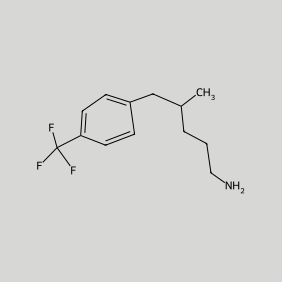 CC(CCCN)Cc1ccc(C(F)(F)F)cc1